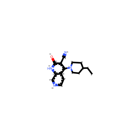 CCC1CCN(c2c(C#N)c(=O)[nH]c3cnccc23)CC1